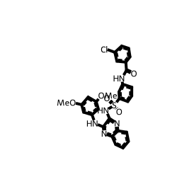 COc1cc(Nc2nc3ccccc3nc2NS(=O)(=O)c2cccc(NC(=O)c3cccc(Cl)c3)c2)cc(OC)c1